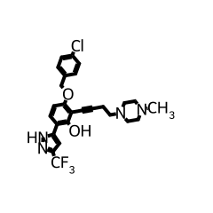 CN1CCN(CCC#Cc2c(OCc3ccc(Cl)cc3)ccc(-c3cc(C(F)(F)F)n[nH]3)c2O)CC1